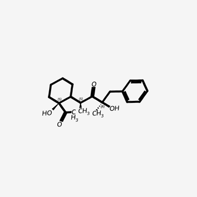 CC(=O)[C@]1(O)CCCCC1[C@H](C)C(=O)[C@](C)(O)Cc1ccccc1